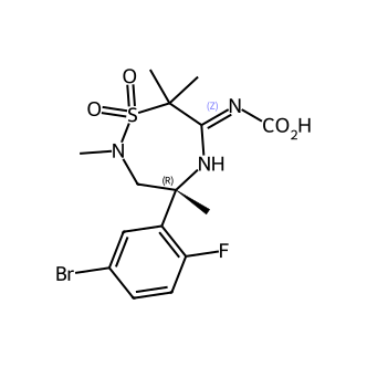 CN1C[C@@](C)(c2cc(Br)ccc2F)N/C(=N\C(=O)O)C(C)(C)S1(=O)=O